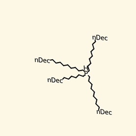 CCCCCCCCCCCCCCCCCCC[PH](CCCCCCCCCCCCCCCC)(CCCCCCCCCCCCCCCCCCC)CCCCCCCCCCCCCCCCCCC